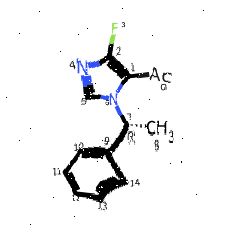 CC(=O)c1c(F)ncn1[C@H](C)c1ccccc1